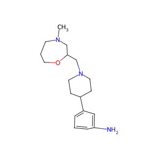 CN1CCCOC(CN2CCC(c3cccc(N)c3)CC2)C1